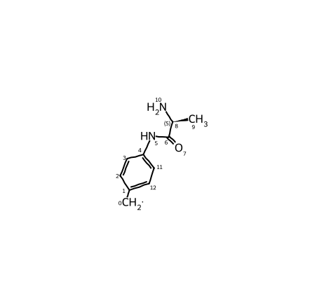 [CH2]c1ccc(NC(=O)[C@H](C)N)cc1